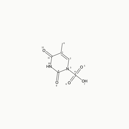 Cc1cn(S(=O)(=O)O)c(=O)[nH]c1=O